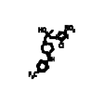 C[C@](O)(CN1CCN(Nc2ccc(C(F)(F)F)cc2)CC1)Cn1cc([N+](=O)[O-])nc1Cl